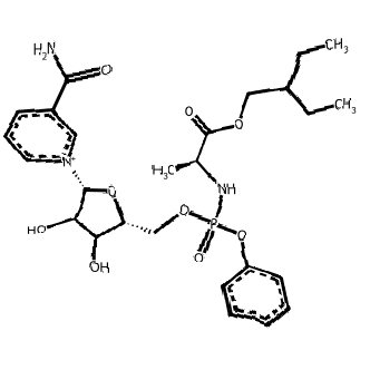 CCC(CC)COC(=O)[C@H](C)NP(=O)(OC[C@H]1O[C@@H]([n+]2cccc(C(N)=O)c2)C(O)C1O)Oc1ccccc1